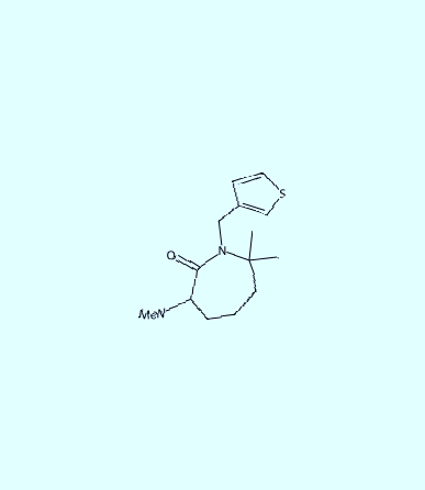 CNC1CCCC(C)(C)N(Cc2ccsc2)C1=O